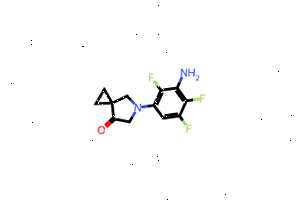 Nc1c(F)c(F)cc(N2CC(=O)C3(CC3)C2)c1F